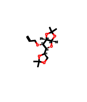 C=CCO[C@@H]1[C@H]2OC(C)(C)O[C@H]2O[C@@H]1[C@H]1COC(C)(C)O1